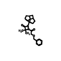 CC1(C)C(=O)N(C2C3CC4CC5CC2CC45C3)N1C(=O)COCc1ccccc1